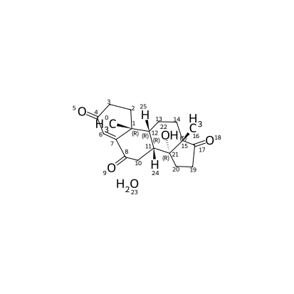 C[C@]12CCC(=O)C=C1C(=O)C[C@@H]1[C@H]2CC[C@]2(C)C(=O)CC[C@@]12O.O